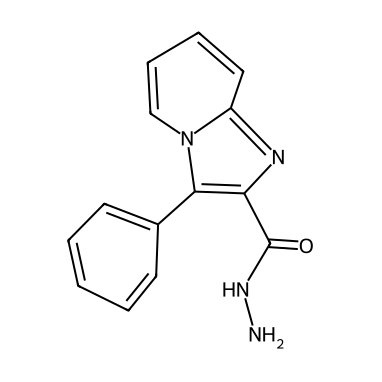 NNC(=O)c1nc2ccccn2c1-c1ccccc1